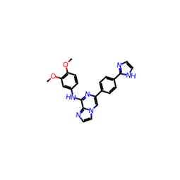 COc1ccc(Nc2nc(-c3ccc(-c4ncc[nH]4)cc3)cn3ccnc23)cc1OC